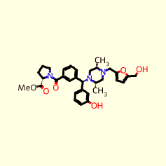 COC(=O)[C@@H]1CCCN1C(=O)c1cccc([C@H](c2cccc(O)c2)N2C[C@@H](C)N(Cc3ccc(CO)o3)C[C@@H]2C)c1